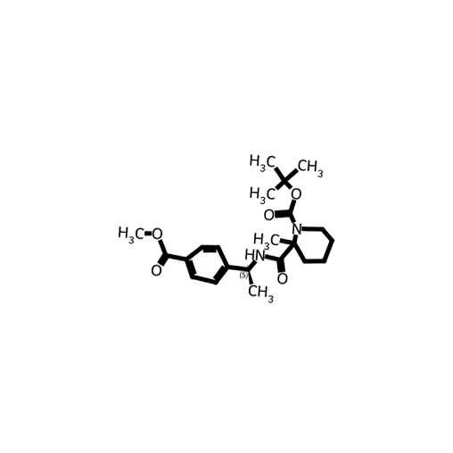 COC(=O)c1ccc([C@H](C)NC(=O)C2(C)CCCCN2C(=O)OC(C)(C)C)cc1